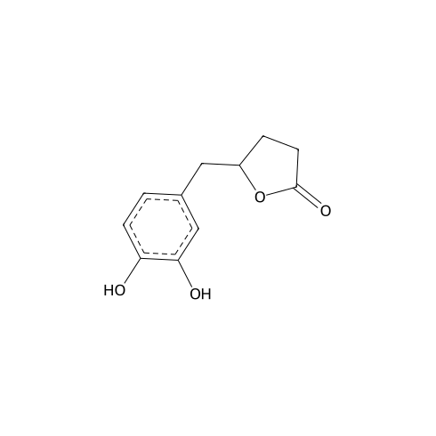 O=C1CCC(Cc2ccc(O)c(O)c2)O1